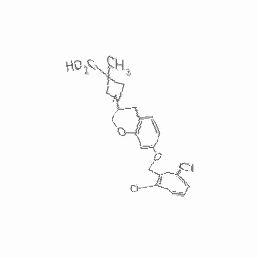 CC1(C(=O)O)CN(C2COc3cc(OCc4c(Cl)cccc4Cl)ccc3C2)C1